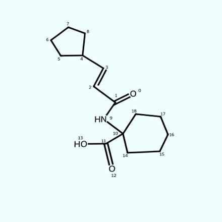 O=C(/C=C/C1CCCC1)NC1(C(=O)O)CCCCC1